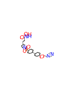 CN1CCN(CCOc2ccc(-c3ccc(S(=O)(=O)n4ccc(C=CC(=O)NO)c4)cc3)cc2)CC1